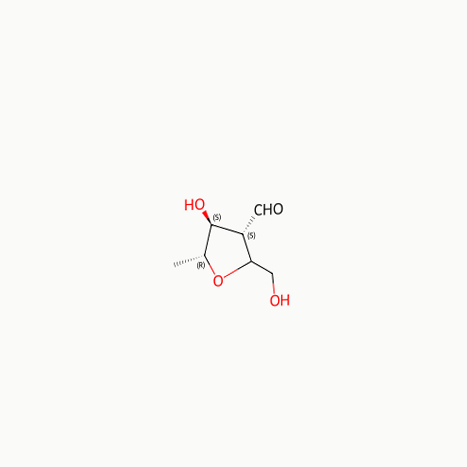 C[C@H]1OC(CO)[C@@H](C=O)[C@@H]1O